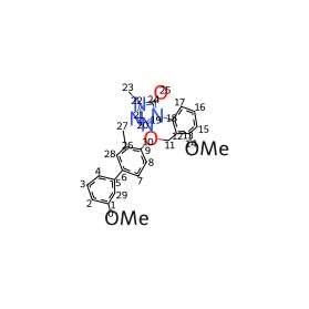 COc1cccc(-c2ccc(OCc3c(OC)cccc3-n3nnn(C)c3=O)c(C)c2)c1